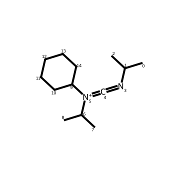 CC(C)N=C=[N+](C(C)C)C1CCCCC1